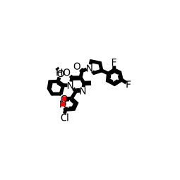 C=C1N=C(c2ccc(Cl)nc2)N(C2=C(OC)C=CCC2OC)C(O)=C1C(=O)N1CCC(c2ccc(F)cc2F)C1